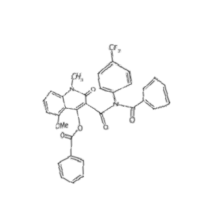 COc1cccc2c1c(OC(=O)c1ccccc1)c(C(=O)N(C(=O)c1ccccc1)c1ccc(C(F)(F)F)cc1)c(=O)n2C